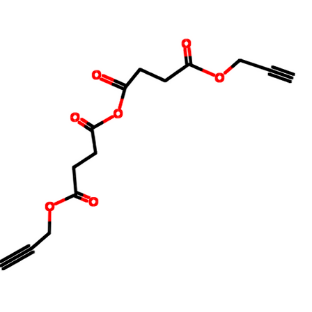 C#CCOC(=O)CCC(=O)OC(=O)CCC(=O)OCC#C